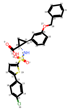 O=C(O)[C@@]1(NS(=O)(=O)c2ccc(-c3ccc(Cl)cc3)s2)C[C@H]1c1cccc(OCc2ccccc2)c1